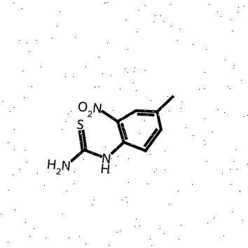 Cc1ccc(NC(N)=S)c([N+](=O)[O-])c1